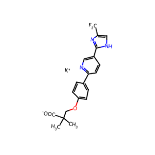 CC(C)(COc1ccc(-c2ccc(-c3nc(C(F)(F)F)c[nH]3)cn2)cc1)C(=O)[O-].[K+]